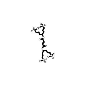 O=C(/C=C/C(=O)OC(CCC[Si](Cl)(Cl)Cl)CCC[Si](Cl)(Cl)Cl)OC(CCC[Si](Cl)(Cl)Cl)CCC[Si](Cl)(Cl)Cl